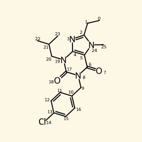 CCc1nc2c(c(=O)n(Cc3ccc(Cl)cc3)c(=O)n2CC(C)C)n1C